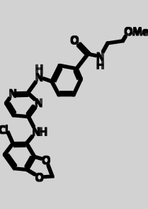 COCCNC(=O)c1cccc(Nc2nccc(Nc3c(Cl)ccc4c3OCO4)n2)c1